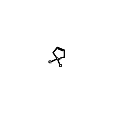 [Cl][Ge]1([Cl])[CH2]C=C[CH2]1